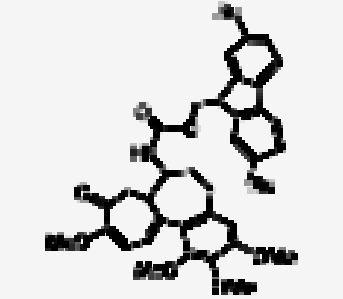 COC1=CC=C2c3c(cc(OC)c(OC)c3OC)CCC(NC(=O)OCC3c4cc(C(C)(C)C)ccc4-c4ccc(C(C)(C)C)cc43)C2CC1=O